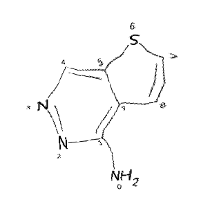 Nc1nncc2sccc12